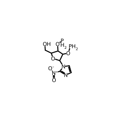 O=[N+]([O-])c1nccn1C1OC(CO)C(OP)C1OP